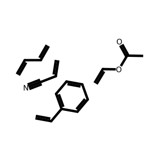 C=CC#N.C=CC=C.C=COC(C)=O.C=Cc1ccccc1